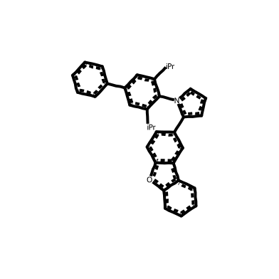 CC(C)c1cc(-c2ccccc2)cc(C(C)C)c1-n1cccc1-c1ccc2oc3ccccc3c2c1